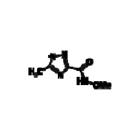 CONC(=O)C1=N[N]C(C)=N1